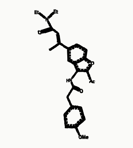 CCN(CC)C(=O)/C=C(\C)c1ccc2oc(C(C)=O)c(NC(=O)Cc3ccc(OC)cc3)c2c1